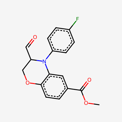 COC(=O)c1ccc2c(c1)N(c1ccc(F)cc1)C(C=O)CO2